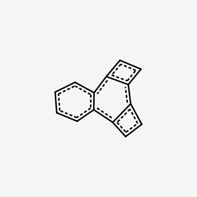 c1ccc2c(c1)c1ccc1c1ccc21